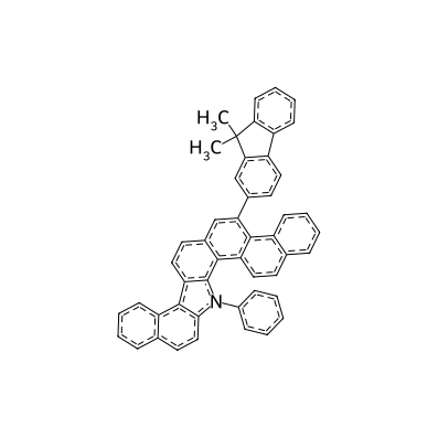 CC1(C)c2ccccc2-c2ccc(-c3cc4ccc5c6c7ccccc7ccc6n(-c6ccccc6)c5c4c4ccc5ccccc5c34)cc21